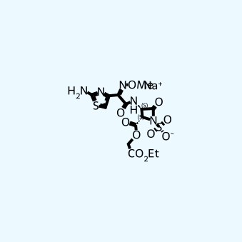 CCOC(=O)COC(=O)[C@@H]1[C@H](NC(=O)C(=NOC)c2csc(N)n2)C(=O)N1S(=O)(=O)[O-].[Na+]